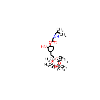 C=C(C)CNCC(=O)OC1CCC(CC[Si]2(C)O[Si](C)(C)O[Si](C)(C)O[Si](C)(C)O2)CC1O